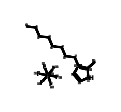 CCCCCCCC[n+]1cc[nH]c1C.F[P-](F)(F)(F)(F)F